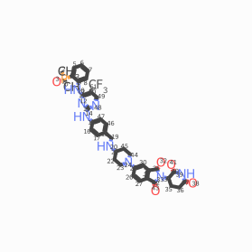 CP(C)(=O)c1ccccc1Nc1nc(Nc2ccc(CNC3CCN(c4ccc5c(c4)C(=O)N(C4CCC(=O)NC4=O)C5=O)CC3)cc2)ncc1C(F)(F)F